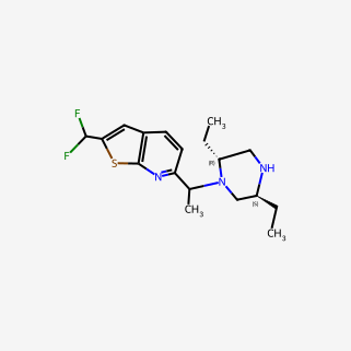 CC[C@H]1CN(C(C)c2ccc3cc(C(F)F)sc3n2)[C@H](CC)CN1